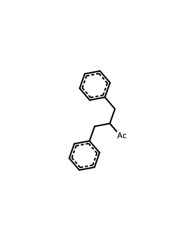 CC(=O)C(Cc1ccccc1)Cc1ccccc1